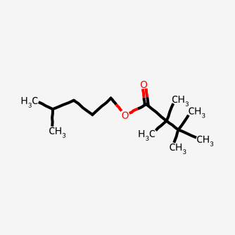 CC(C)CCCOC(=O)C(C)(C)C(C)(C)C